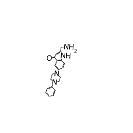 NCc1cc(=O)c2cc(N3CCN(c4ccccc4)CC3)ccc2[nH]1